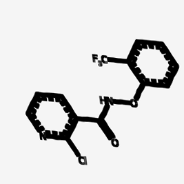 O=C(NOc1ccccc1C(F)(F)F)c1cccnc1Cl